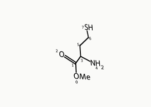 COC(=O)C(N)CCS